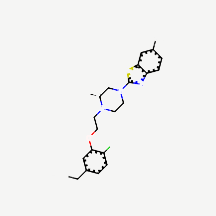 C[C@H]1CN(c2nc3ccc(C(F)(F)F)cc3s2)CCN1CCOc1cc(CC(=O)O)ccc1Cl